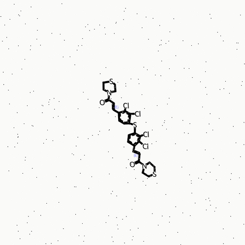 O=C(/C=C/c1ccc(Sc2ccc(/C=C/C(=O)N3CCSCC3)c(Cl)c2Cl)c(Cl)c1Cl)N1CCSCC1